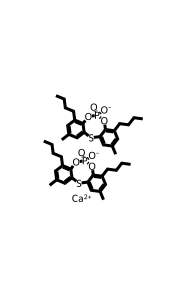 CCCCc1cc(C)cc2c1OP(=O)([O-])Oc1c(CCCC)cc(C)cc1S2.CCCCc1cc(C)cc2c1OP(=O)([O-])Oc1c(CCCC)cc(C)cc1S2.[Ca+2]